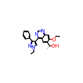 CCOc1cc2ncnc(-c3cn(CC)nc3-c3ccccc3)c2cc1[C@@H](C)O